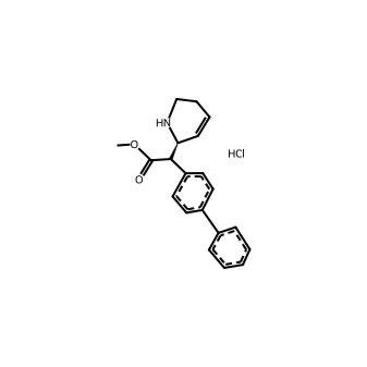 COC(=O)C(c1ccc(-c2ccccc2)cc1)[C@@H]1C=CCCN1.Cl